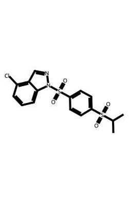 CC(C)S(=O)(=O)c1ccc(S(=O)(=O)n2ncc3c(Cl)cccc32)cc1